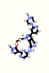 C[C@H]1CCOc2c(cnn2C)-c2nccc(n2)Nc2cc3c(cn2)c(-c2ccnc(N4CCN(C)CC4)c2)nn31